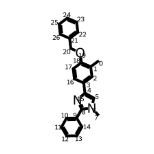 Cc1cc(-c2cn(C)c(-c3ccccc3)n2)ccc1OCc1ccccc1